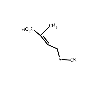 CC(=CCSC#N)C(=O)O